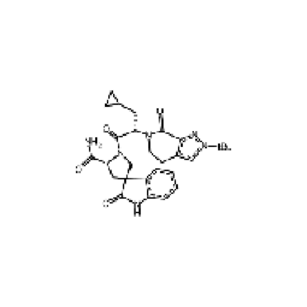 CC(C)(C)n1cc2c(n1)C(=O)N([C@@H](CC1CC1)C(=O)N1C[C@]3(C[C@H]1C(N)=O)C(=O)Nc1ccccc13)CC2